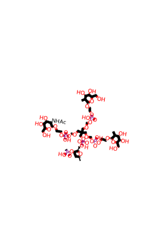 CC(=O)NC1[C@H](OCCOP(=O)(O)OCOCC(COCOP(=O)(O)OCCO[C@@H]2OC(CO)[C@H](O)[C@H](O)C2C)(COCOP(=O)(O)OCCO[C@@H]2OC(CO)[C@H](O)[C@H](O)C2C)COP(=O)(O)OC[C@H]2O[C@@H](C)CC2OP(C)(=O)O)OC(CO)[C@H](O)[C@@H]1O